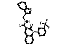 O=C(NCc1csc2ccccc12)c1cc2ccccc2n(-c2cccc(C(F)(F)F)c2)c1=O